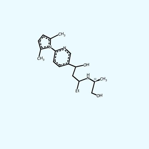 CCC(CC(O)c1ccc(-n2c(C)ccc2C)nc1)N[C@@H](C)CO